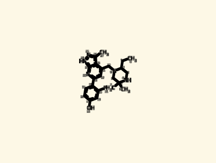 CCC1CNC(C)(C)CN1Cc1cc(-c2ccc(O)cc2F)nc2[nH]nc(C)c12